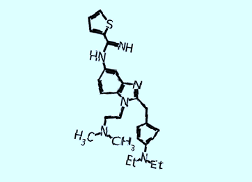 CCN(CC)c1ccc(Cc2nc3cc(NC(=N)c4cccs4)ccc3n2CCN(C)C)cc1